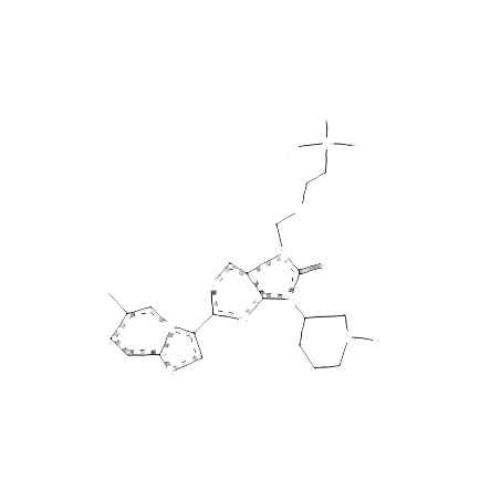 CC(=O)N1CCCC(n2c(=O)n(COCC[Si](C)(C)C)c3cnc(-c4cnc5ccc(F)cn45)nc32)C1